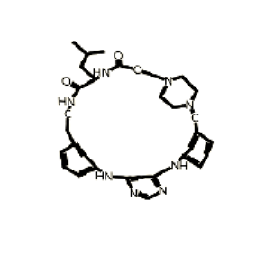 CC(C)CC1NC(=O)CN2CCN(CC2)Cc2cccc(c2)Nc2cc(ncn2)Nc2cccc(c2)CCNC1=O